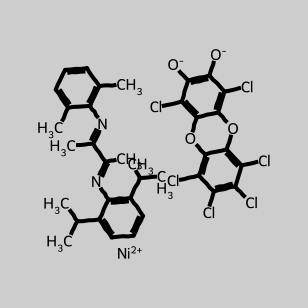 CC(=Nc1c(C)cccc1C)C(C)=Nc1c(C(C)C)cccc1C(C)C.[Ni+2].[O-]c1c([O-])c(Cl)c2c(c1Cl)Oc1c(Cl)c(Cl)c(Cl)c(Cl)c1O2